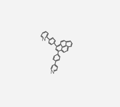 c1ccc(-c2ccc(-c3cc(-c4ccc(-c5ccncc5)cc4)c4ccc5cccc6ccc3c4c56)cc2)nc1